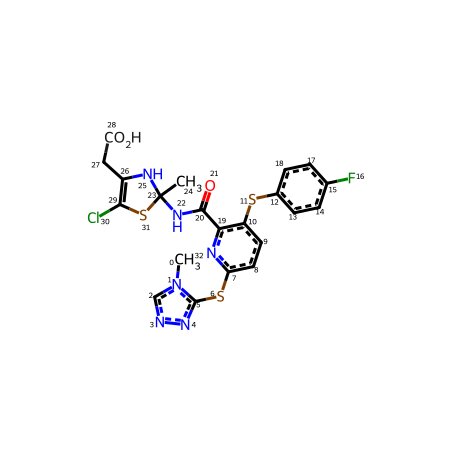 Cn1cnnc1Sc1ccc(Sc2ccc(F)cc2)c(C(=O)NC2(C)NC(CC(=O)O)=C(Cl)S2)n1